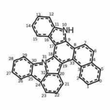 c1ccc2c(c1)ccc1c3[nH]c4ccccc4c3c3c(c4cccc5c6ccccc6n3c54)c21